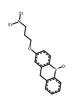 CCN(CC)CCCOc1ccc2c(c1)Cc1ccccc1[S+]2[O-]